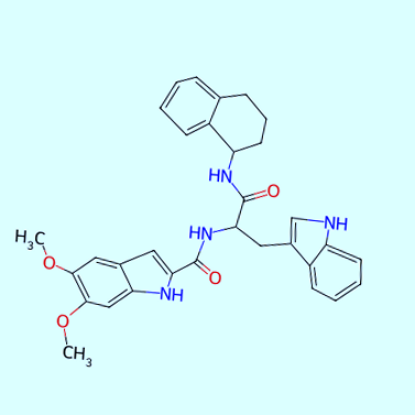 COc1cc2cc(C(=O)NC(Cc3c[nH]c4ccccc34)C(=O)NC3CCCc4ccccc43)[nH]c2cc1OC